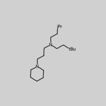 CC(C)CCN(CCCN1CCCCC1)CCC(C)(C)C